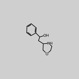 OC(CC1COCCN1)c1ccccc1